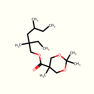 CCC(C)CC(C)(CC)COC(=O)C1(C)COC(C)(C)OC1